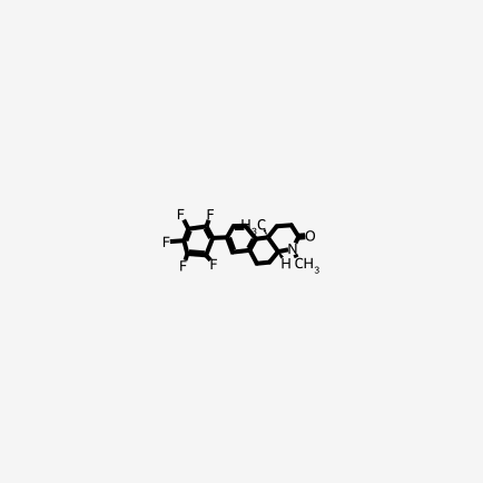 CN1C(=O)CC[C@]2(C)c3ccc(-c4c(F)c(F)c(F)c(F)c4F)cc3CC[C@@H]12